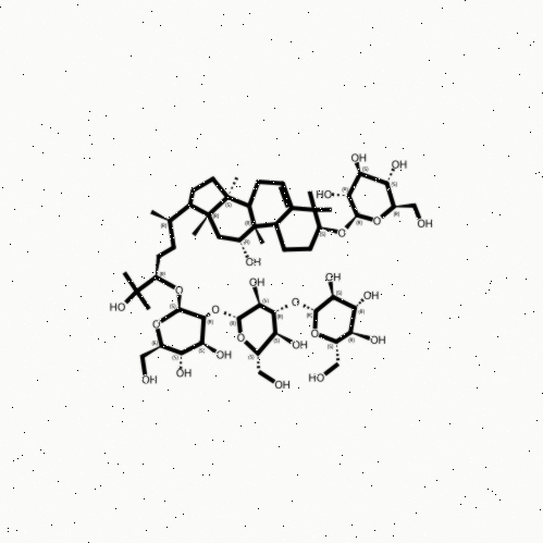 C[C@H](CC[C@@H](O[C@@H]1O[C@H](CO)[C@@H](O)[C@H](O)[C@H]1O[C@H]1O[C@@H](CO)[C@H](O)[C@@H](O[C@H]2O[C@@H](CO)[C@H](O)[C@@H](O)[C@@H]2O)[C@@H]1O)C(C)(C)O)C1CC[C@@]2(C)C3CC=C4C(CC[C@H](O[C@@H]5O[C@H](CO)[C@@H](O)[C@H](O)[C@H]5O)C4(C)C)[C@]3(C)[C@H](O)C[C@]12C